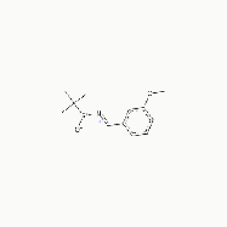 COc1cccc(/C=N/[S+]([O-])C(C)(C)C)c1